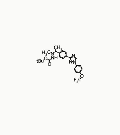 CC(c1ccc(-c2ncn(-c3ccc(OC(F)(F)F)cc3)n2)cc1)N(C)NC(=O)OC(C)(C)C